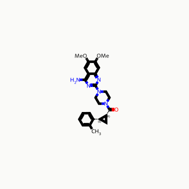 COc1cc2nc(N3CCN(C(=O)[C@@H]4C[C@@H]4c4ccccc4C)CC3)nc(N)c2cc1OC